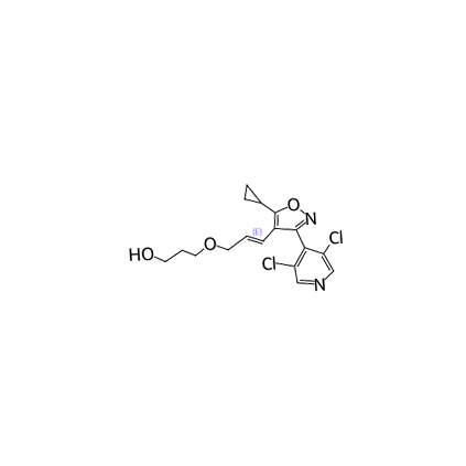 OCCCOC/C=C/c1c(-c2c(Cl)cncc2Cl)noc1C1CC1